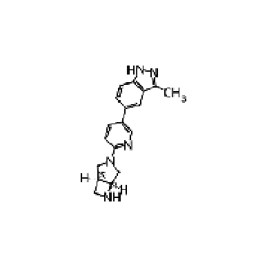 Cc1n[nH]c2ccc(-c3ccc(N4C[C@@H]5CN[C@@H]5C4)nc3)cc12